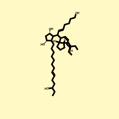 CCCC/C=C\C(C(C=CCCCCO)C1C(CCCCCCC/C=C/CCC(O)CC)[C@H](O)C[C@@H]1O)C1(O)CCCC1(O)CC(O)CC